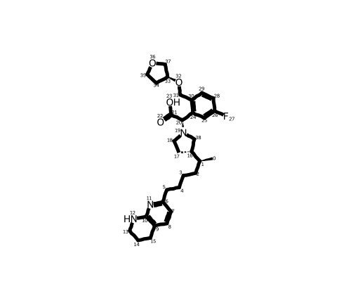 C[C@@H](CCCCc1ccc2c(n1)NCCC2)[C@@H]1CCN([C@H](C(=O)O)c2cc(F)ccc2CO[C@H]2CCOC2)C1